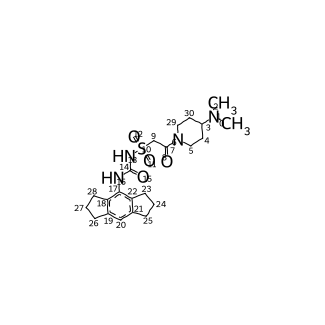 CN(C)C1CCN(C(=O)CS(=O)(=O)NC(=O)Nc2c3c(cc4c2CCC4)CCC3)CC1